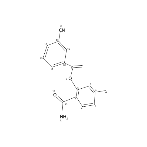 C=C(Oc1cc(C)ccc1C(N)=O)c1cccc(C#N)c1